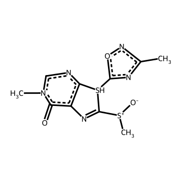 Cc1noc([SH]2C([S+](C)[O-])=Nc3c2ncn(C)c3=O)n1